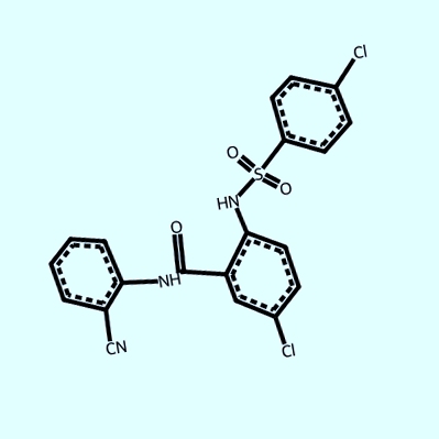 N#Cc1ccccc1NC(=O)c1cc(Cl)ccc1NS(=O)(=O)c1ccc(Cl)cc1